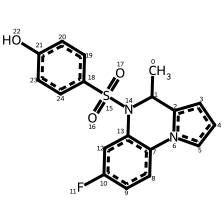 CC1c2cccn2-c2ccc(F)cc2N1S(=O)(=O)c1ccc(O)cc1